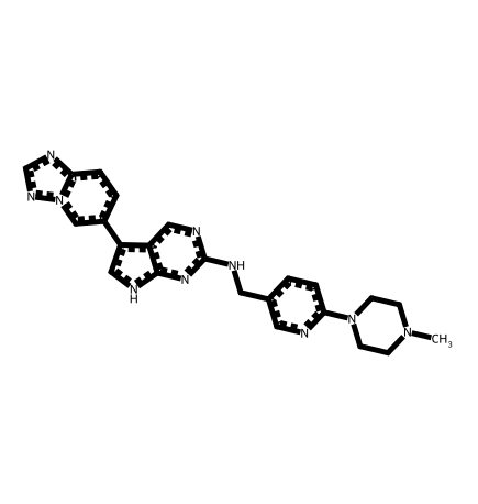 CN1CCN(c2ccc(CNc3ncc4c(-c5ccc6ncnn6c5)c[nH]c4n3)cn2)CC1